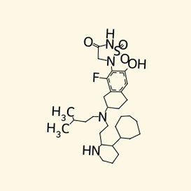 CC(C)CCN(CCC1NCCCC1C1CCCCCC1)C1CCc2cc(O)c(N3CC(=O)NS3(=O)=O)c(F)c2C1